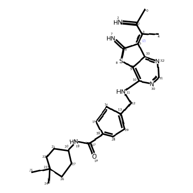 CC(=N)/C(C)=C1\C(=N)Sc2c(NCc3ccc(C(=O)NC4CCC(C)(C)CC4)cc3)ncnc21